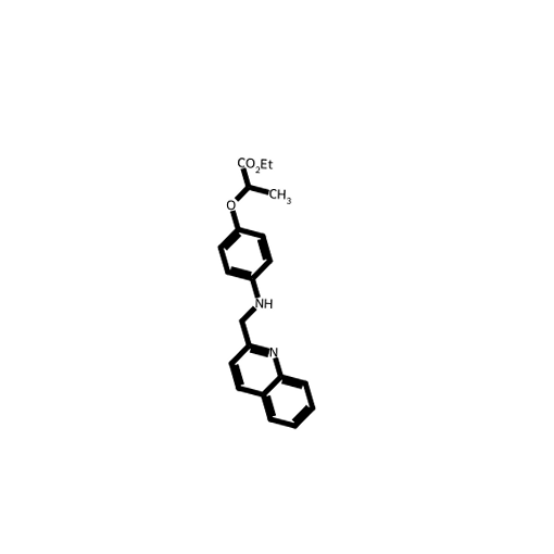 CCOC(=O)C(C)Oc1ccc(NCc2ccc3ccccc3n2)cc1